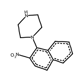 O=[N+]([O-])c1ccc2ccccc2c1N1CCNCC1